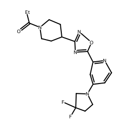 CCC(=O)N1CCC(c2noc(-c3cc(N4CCC(F)(F)C4)ccn3)n2)CC1